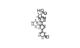 O=C(O)c1ccn2c(C3CCCCC3)c(-c3ccc(-c4cccc(Cl)c4)cc3)cnc12